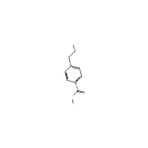 COC(=O)c1ccc(CCI)cc1.[Zn]